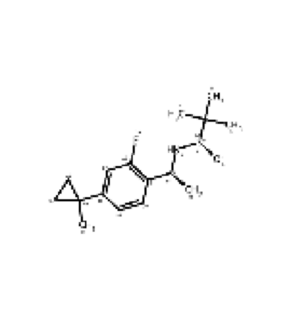 C[C@H](N[S@+]([O-])C(C)(C)C)c1ccc(C2(C)CC2)cc1F